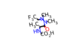 C[C@@H](NC(=O)O)C(=O)N(C)N(C)CC(F)(F)F